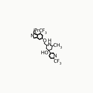 CC1CC(O)(c2ccc(C(F)(F)F)nc2)CC(COc2cc(C(F)(F)F)c3c(cnn3C(C)C)c2)N1